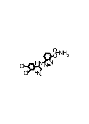 CN(C)CC(Nc1ncnc2c(OC(N)=O)cccc12)c1ccc(Cl)c(Cl)c1